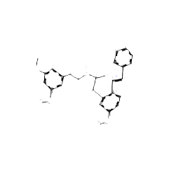 COc1cc(CCNC(C)Cc2cc(OC)ccc2/C=C/c2ccccc2)cc(OC)c1